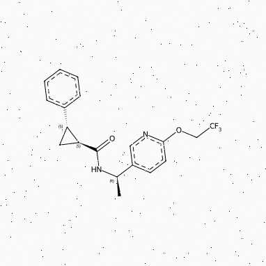 C[C@@H](NC(=O)[C@H]1C[C@@H]1c1ccccc1)c1ccc(OCC(F)(F)F)nc1